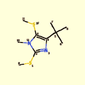 CSc1nc(C(C)(C)C)c(SC)n1C